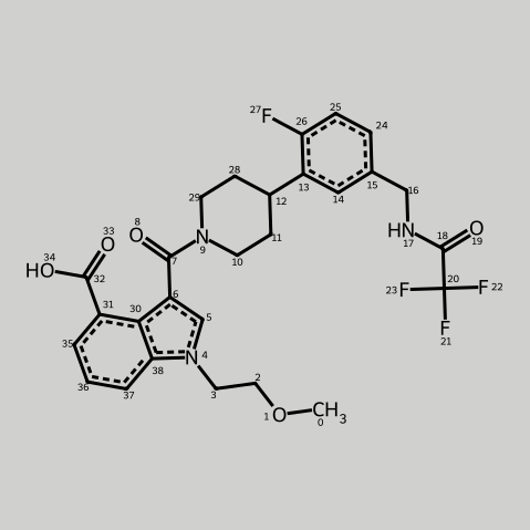 COCCn1cc(C(=O)N2CCC(c3cc(CNC(=O)C(F)(F)F)ccc3F)CC2)c2c(C(=O)O)cccc21